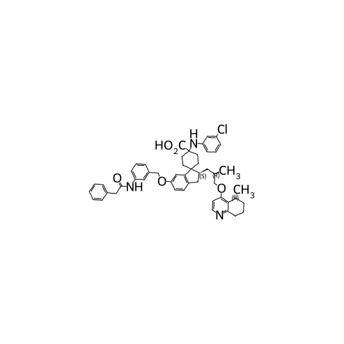 C[C@@H](COc1ccnc2c1[C@H](C)CCC2)C[C@H]1Cc2ccc(OCc3cccc(NC(=O)Cc4ccccc4)c3)cc2C12CCC(Nc1cccc(Cl)c1)(C(=O)O)CC2